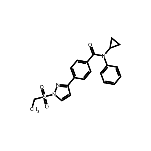 CCS(=O)(=O)n1ccc(-c2ccc(C(=O)N(c3ccccc3)C3CC3)cc2)n1